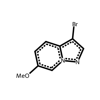 COc1ccc2c(Br)cnn2c1